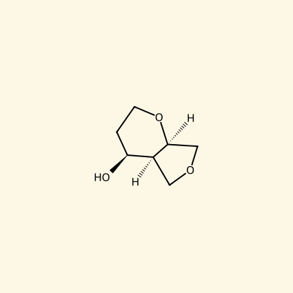 O[C@H]1CCO[C@H]2COC[C@H]21